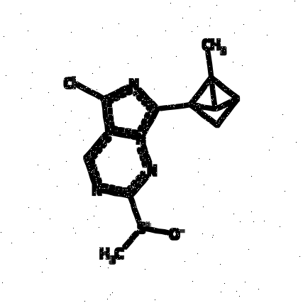 CC1C2CC1(c1nc(Cl)c3cnc([S+](C)[O-])nn13)C2